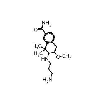 COC1Cc2ccc(C(N)=O)cc2C(C)(C)C1NCCCN